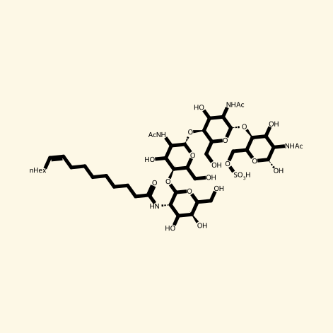 CCCCCC/C=C\CCCCCCCC(=O)N[C@@H]1C(O[C@@H]2C(CO)O[C@@H](O[C@@H]3C(CO)O[C@@H](O[C@@H]4C(COS(=O)(=O)O)O[C@@H](O)C(NC(C)=O)C4O)C(NC(C)=O)C3O)C(NC(C)=O)C2O)OC(CO)[C@@H](O)C1O